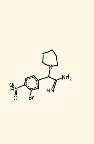 N=C(N)C(c1ccc([SH](=O)=O)c(Br)c1)N1CCCCC1